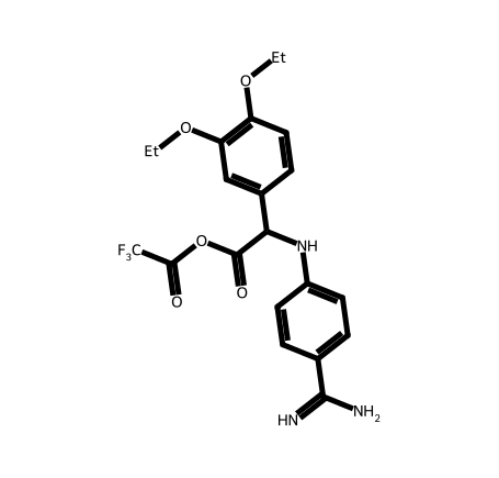 CCOc1ccc(C(Nc2ccc(C(=N)N)cc2)C(=O)OC(=O)C(F)(F)F)cc1OCC